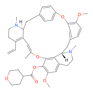 C=CC1=C2/C=C(\C)Oc3c(OC(=O)C4CCOCC4)c(OC)cc4c3[C@H](Cc3ccc(OC)c(c3)Oc3ccc(cc3)C[C@@H]2N(C)CC1)N(C)CC4